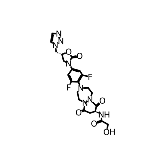 O=C(CO)N[C@H]1CC(=O)N2CCN(c3c(F)cc(N4C[C@H](Cn5ccnn5)OC4=O)cc3F)CCN2C1=O